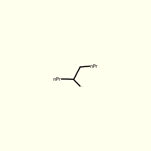 [CH2]C(CCC)CCCC